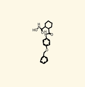 O=C(NO)C1CCCCC1C(=O)Nc1ccc(OCc2ccccc2)cc1